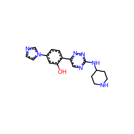 Oc1cc(-n2ccnc2)ccc1-c1cnc(NC2CCNCC2)nn1